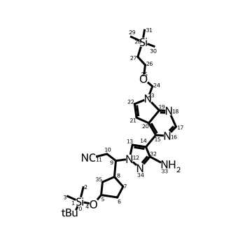 CC(C)(C)[Si](C)(C)OC1CCC(C(CC#N)n2cc(-c3ncnc4c3ccn4COCC[Si](C)(C)C)c(N)n2)C1